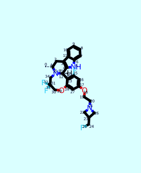 C[C@@H]1Cc2c([nH]c3ccccc23)[C@H]2c3c(F)cc(OCCN4CC(CF)C4)cc3OCC(F)(F)CN21